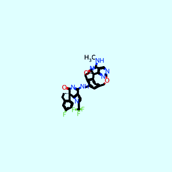 CNC1=NC(=O)[C@]23CCc4c(CNC5=NC(=O)[C@@]6(CCc7cc(F)ccc76)c6nc(C(F)(F)F)ccc65)cc(cc42)COc2ncc1c3n2